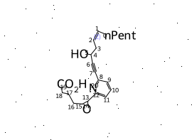 CCCCC/C=C\CC(O)C#Cc1cccc(C2OC2CCCC(=O)O)n1